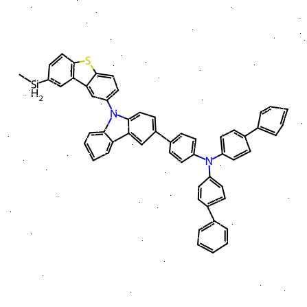 C[SiH2]c1ccc2sc3ccc(-n4c5ccccc5c5cc(-c6ccc(N(c7ccc(-c8ccccc8)cc7)c7ccc(-c8ccccc8)cc7)cc6)ccc54)cc3c2c1